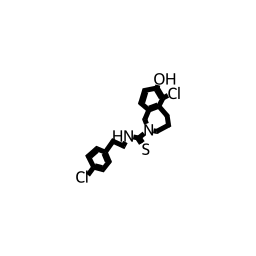 Oc1ccc2c(c1Cl)CCCN(C(=S)NCCc1ccc(Cl)cc1)C2